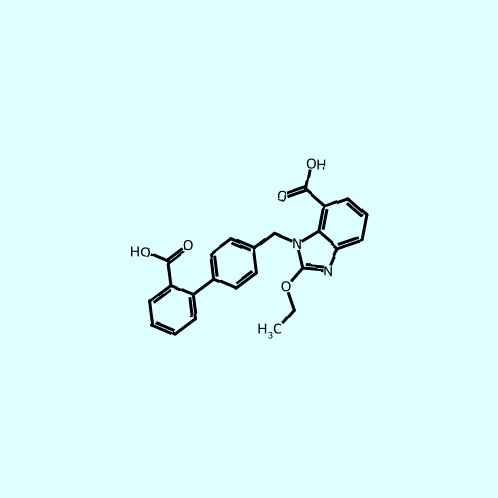 CCOc1nc2cccc(C(=O)O)c2n1Cc1ccc(-c2ccccc2C(=O)O)cc1